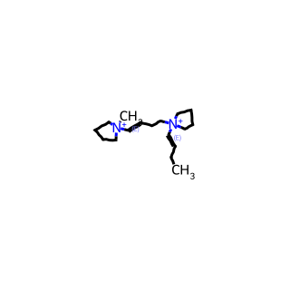 CC/C=C/[N+]1(CC/C=C/[N+]2(C)CCCC2)CCCC1